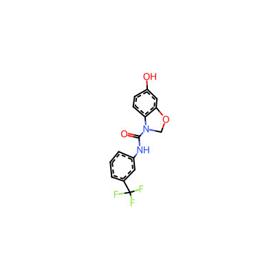 O=C(Nc1cccc(C(F)(F)F)c1)N1COc2cc(O)ccc21